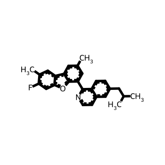 Cc1cc(-c2nccc3cc(CC(C)C)ccc23)c2oc3cc(F)c(C)cc3c2c1